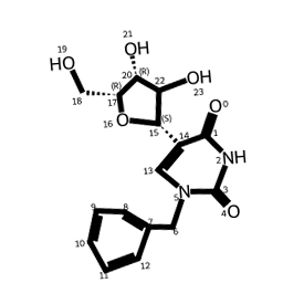 O=c1[nH]c(=O)n(Cc2ccccc2)cc1[C@@H]1O[C@H](CO)[C@H](O)C1O